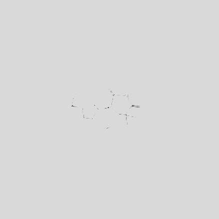 CCO[C@@H]1N([C@H]2C[C@H](F)[C@@H](CO)O2)C(=O)NC(=O)C1(Cl)Cl